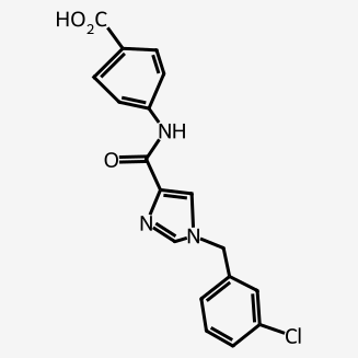 O=C(O)c1ccc(NC(=O)c2cn(Cc3cccc(Cl)c3)cn2)cc1